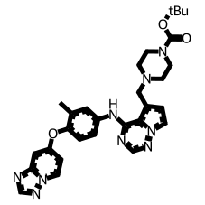 Cc1cc(Nc2ncnn3ccc(CN4CCN(C(=O)OC(C)(C)C)CC4)c23)ccc1Oc1ccn2ncnc2c1